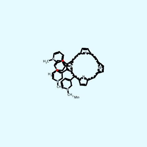 CN1C=CC=C(c2c(C3=CC=CN(C)C3)c3c(C4=CC=CN(C)C4)c4nc(cc5ccc(cc6nc(cc2n3C2=CC=CN(C)C2)C=C6)[nH]5)C=C4)C1.[Mn]